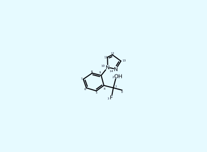 CC(O)(F)c1ccccc1-n1cccn1